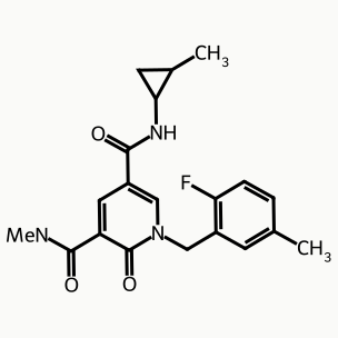 CNC(=O)c1cc(C(=O)NC2CC2C)cn(Cc2cc(C)ccc2F)c1=O